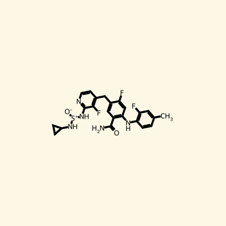 Cc1ccc(Nc2cc(F)c(Cc3ccnc(N[S+]([O-])NC4CC4)c3F)cc2C(N)=O)c(F)c1